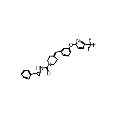 O=C(NC1CC1c1ccccc1)N1CCC(=Cc2cccc(Oc3ccc(C(F)(F)F)cn3)c2)CC1